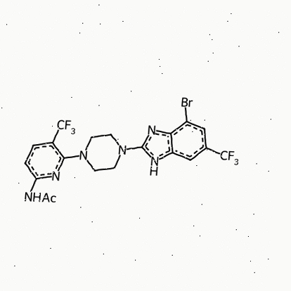 CC(=O)Nc1ccc(C(F)(F)F)c(N2CCN(c3nc4c(Br)cc(C(F)(F)F)cc4[nH]3)CC2)n1